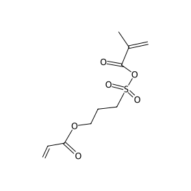 C=CC(=O)OCCCS(=O)(=O)OC(=O)C(=C)C